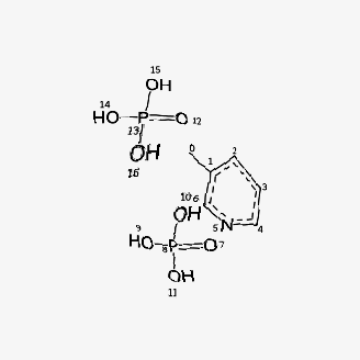 Cc1cccnc1.O=P(O)(O)O.O=P(O)(O)O